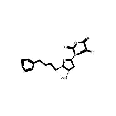 CCc1cn([C@H]2C[C@H](OC(C)=O)[C@@H](CCCCc3ccccc3)O2)c(=O)[nH]c1=O